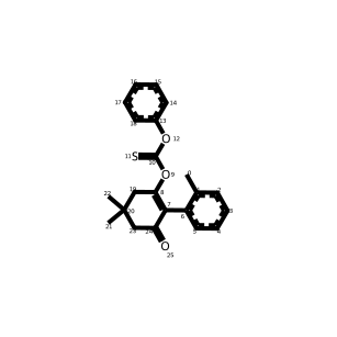 Cc1ccccc1C1=C(OC(=S)Oc2ccccc2)CC(C)(C)CC1=O